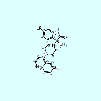 CC(C(N)=O)(c1ccc(Cl)cc1)N1CCN(c2ccnc3ccc(F)cc23)CC1